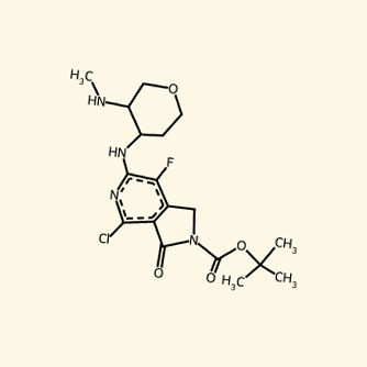 CNC1COCCC1Nc1nc(Cl)c2c(c1F)CN(C(=O)OC(C)(C)C)C2=O